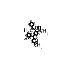 C/C(=C(/Cl)c1cc(C(c2ccc(C)nc2)c2cccc(F)c2)ccc1N(C)Cl)c1ccccc1